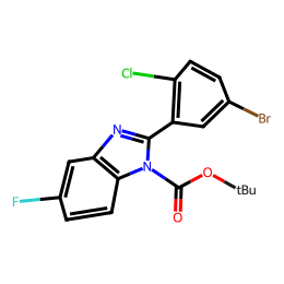 CC(C)(C)OC(=O)n1c(-c2cc(Br)ccc2Cl)nc2cc(F)ccc21